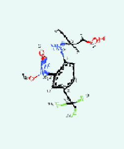 CC(C)(CO)Nc1ccc(C(F)(F)F)cc1[N+](=O)[O-]